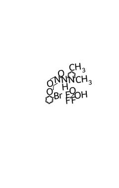 Cc1cc(C)nc(NC(=O)N2CCOC(COc3ccccc3Br)C2)c1.O=C(O)C(F)(F)F